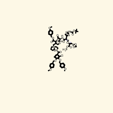 BOC(=O)/C(=C\B1OCO1)O/N=C(\C(=O)N[C@@H]1C(=O)N2C(C(=O)OCc3ccc(OC)cc3)=C(C[N+]3(CCNC(=O)c4ccc(OCc5ccc(OC)cc5)c(OCc5ccc(OC)cc5)c4Cl)CCCC3)CS[C@H]12)c1csc(NC(=O)OC(C)(C)C)n1